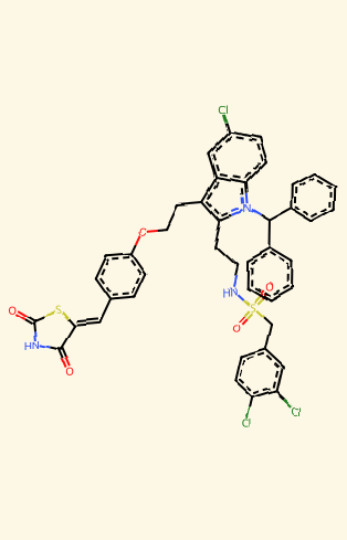 O=C1NC(=O)/C(=C/c2ccc(OCCc3c(CCNS(=O)(=O)Cc4ccc(Cl)c(Cl)c4)n(C(c4ccccc4)c4ccccc4)c4ccc(Cl)cc34)cc2)S1